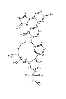 C[C@@H]1CCC[C@H](n2cnc(-c3cc(Cl)ccc3-n3cc(Cl)nn3)cc2=O)c2cc(ccn2)-c2ccc(C(F)(F)CO)cc2NC1=O